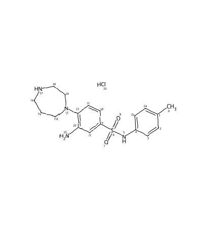 Cc1ccc(NS(=O)(=O)c2ccc(N3CCCNCC3)c(N)c2)cc1.Cl